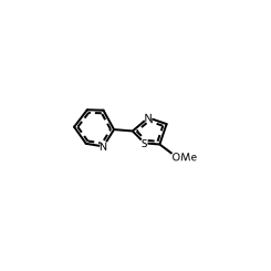 COc1cnc(-c2ccccn2)s1